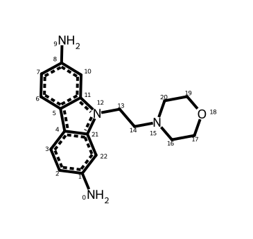 Nc1ccc2c3ccc(N)cc3n(CCN3CCOCC3)c2c1